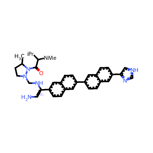 CNC(C(=O)N1C(C)CCN1CN/C(=C\N)c1ccc2cc(-c3ccc4cc(-c5c[nH]cn5)ccc4c3)ccc2c1)C(C)C